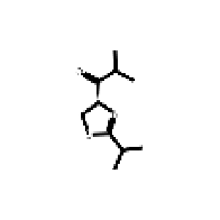 CC(C)C(=O)[C@@H]1CSC(C(C)C)=N1